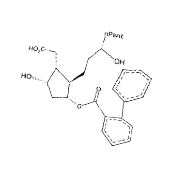 CCCCCC(O)CC[C@@H]1[C@@H](CC(=O)O)[C@@H](O)C[C@H]1OC(=O)c1ccccc1-c1ccccc1